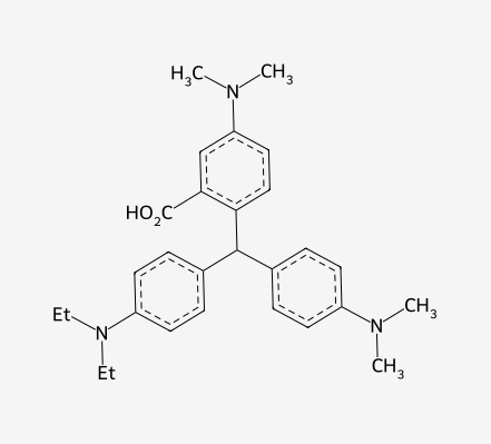 CCN(CC)c1ccc(C(c2ccc(N(C)C)cc2)c2ccc(N(C)C)cc2C(=O)O)cc1